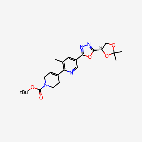 Cc1cc(-c2nnc([C@H]3COC(C)(C)O3)o2)cnc1C1=CCN(C(=O)OC(C)(C)C)CC1